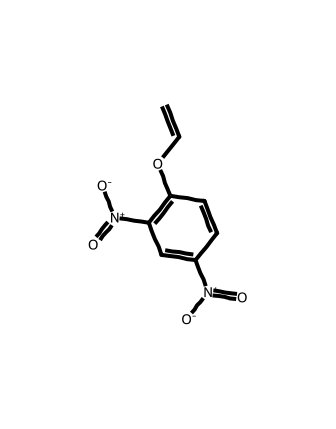 C=COc1ccc([N+](=O)[O-])cc1[N+](=O)[O-]